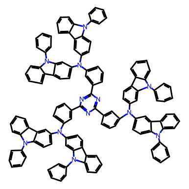 c1ccc(-n2c3ccccc3c3cc(N(c4cccc(-c5nc(-c6cccc(N(c7ccc8c(c7)c7ccccc7n8-c7ccccc7)c7ccc8c9ccccc9n(-c9ccccc9)c8c7)c6)nc(-c6cccc(N(c7ccc8c(c7)c7ccccc7n8-c7ccccc7)c7ccc8c9ccccc9n(-c9ccccc9)c8c7)c6)n5)c4)c4ccc5c6ccccc6n(-c6ccccc6)c5c4)ccc32)cc1